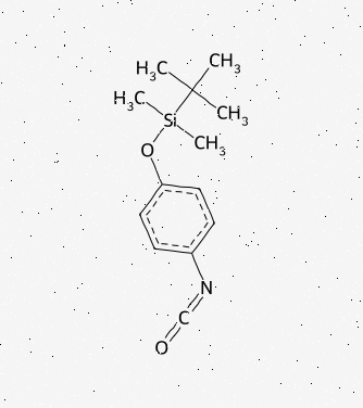 CC(C)(C)[Si](C)(C)Oc1ccc(N=C=O)cc1